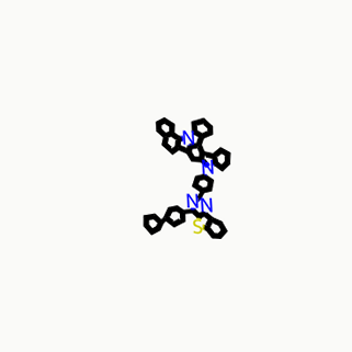 c1ccc(-c2ccc(-c3nc(-c4ccc(-n5c6ccccc6c6c7c8ccccc8n8c9c%10ccccc%10ccc9c(cc65)c78)cc4)nc4c3sc3ccccc34)cc2)cc1